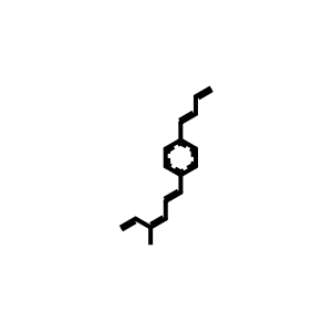 C=CC=Cc1ccc(C=CC=C(C)C=C)cc1